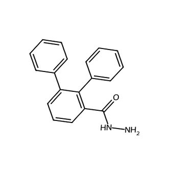 NNC(=O)c1cccc(-c2ccccc2)c1-c1ccccc1